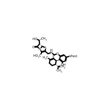 C=C(C)[C@@H]1CCC(C)=C[C@H]1c1c(O)cc(CCCCC)cc1OC(=S)NCC1=C(C(=O)O)N2C(=O)[C@H]([C@@H](C)O)C2S1